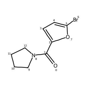 O=C(c1ccc(Br)o1)N1CCCC1